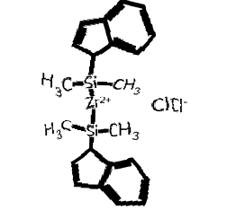 C[Si](C)([Zr+2][Si](C)(C)C1C=Cc2ccccc21)C1C=Cc2ccccc21.[Cl-].[Cl-]